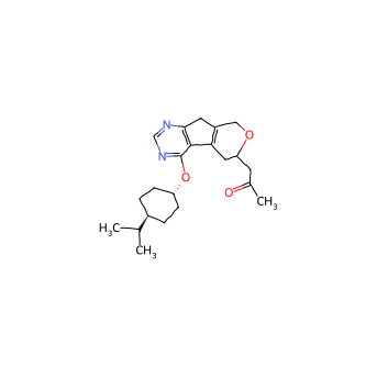 CC(=O)CC1CC2=C(CO1)Cc1ncnc(O[C@H]3CC[C@H](C(C)C)CC3)c12